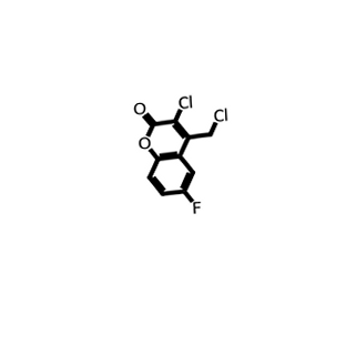 O=c1oc2ccc(F)cc2c(CCl)c1Cl